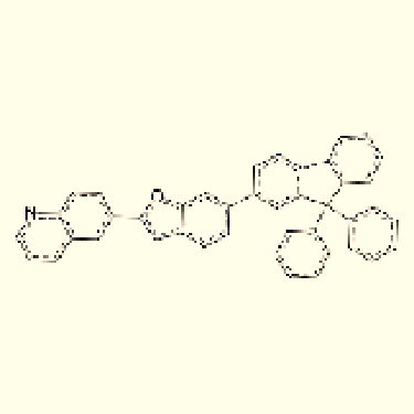 c1ccc(C2(c3ccccc3)c3ccccc3-c3ccc(-c4ccc5cc(-c6ccc7ncccc7c6)oc5c4)cc32)cc1